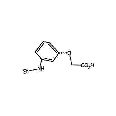 CCNc1cccc(OCC(=O)O)c1